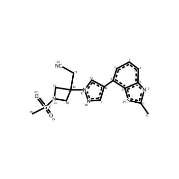 Cc1nc2cccc(-c3cnn(C4(CC#N)CN(S(C)(=O)=O)C4)c3)c2s1